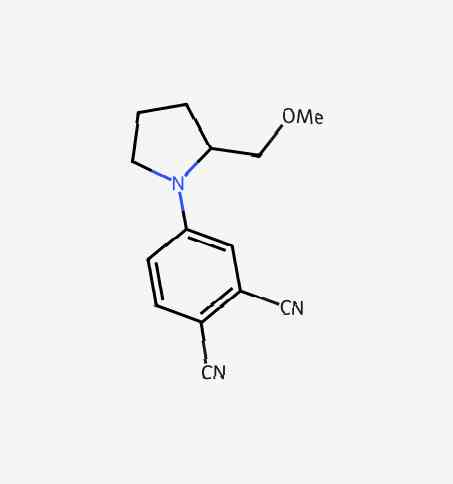 COCC1CCCN1c1ccc(C#N)c(C#N)c1